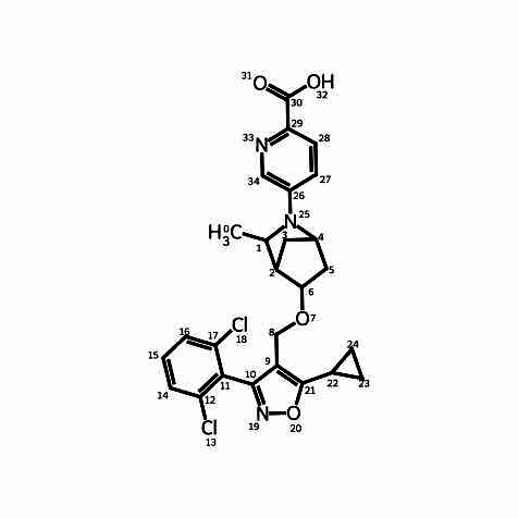 CC1C2CC(CC2OCc2c(-c3c(Cl)cccc3Cl)noc2C2CC2)N1c1ccc(C(=O)O)nc1